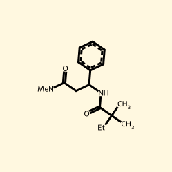 CCC(C)(C)C(=O)NC(CC(=O)NC)c1ccccc1